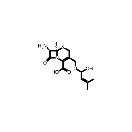 CC(C)=CC(O)OCC1=C(C(=O)O)N2C(=O)[C@@H](N)[C@H]2SC1